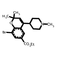 CCOC(=O)c1cc(Br)c2c(c1)C(C1CCN(C)CC1)=CC(C)(C)O2